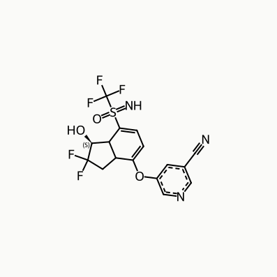 N#Cc1cncc(OC2=CC=C(S(=N)(=O)C(F)(F)F)C3C2CC(F)(F)[C@H]3O)c1